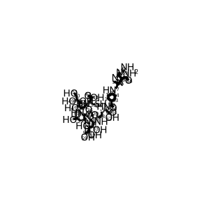 Nc1nc2ncc(CNc3ccc(C(=O)N[C@@H](CCC(=O)N[C@H](C(=O)N[C@@H](CC(=O)O)C(=O)N[C@H](C(=O)N[C@H](CS)C(=O)O)[C@@H](O)[C@H](O)[C@H](O)CO)[C@@H](O)[C@H](O)[C@H](O)CO)C(=O)O)cc3)nc2c(=O)[nH]1